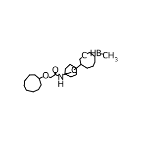 CBC1CCCC(C23CCC(NC(=O)COC4CCCCCCCC4)(CC2)CC3)CCC1